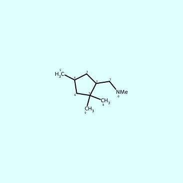 CNCC1CC(C)CC1(C)C